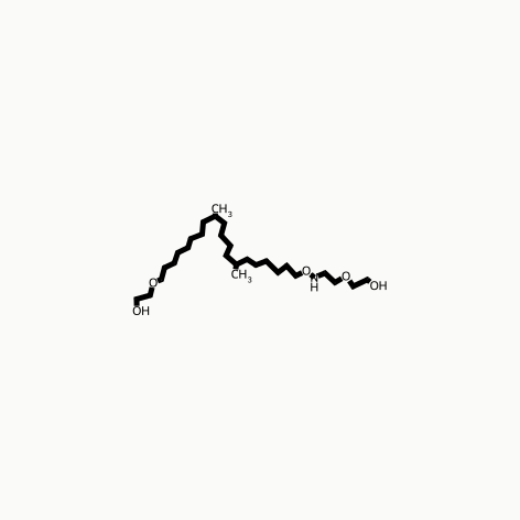 CC(CCCCCCCCOCCO)CCCCC(C)CCCCCCONCCOCCO